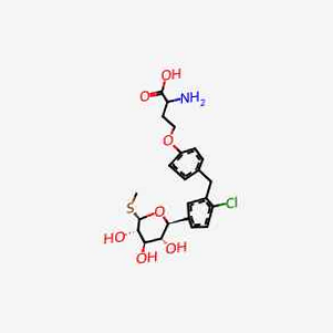 CS[C@H]1O[C@@H](c2ccc(Cl)c(Cc3ccc(OCCC(N)C(=O)O)cc3)c2)[C@H](O)[C@@H](O)[C@@H]1O